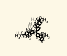 Cc1cc(C(C)(C)C)cc2oc3cc(N(c4ccc5c(c4)C(C)(C)c4ccccc4-5)c4ccc5c(c4)C(C)(C)c4cc(C(C)(C)C)ccc4-5)ccc3c12